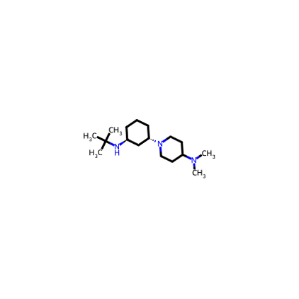 CN(C)C1CCN([C@H]2CCC[C@H](NC(C)(C)C)C2)CC1